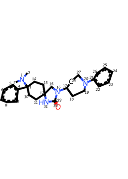 CN(C)C1(c2ccccc2)CCC2(CC1)CN(C1CCN(c3ccccc3)CC1)C(=O)N2